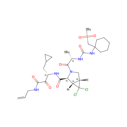 C=CCNC(=O)C(=O)[C@H](CC1CC1)NC(=O)[C@@H]1[C@@H]2[C@H](CN1C(=O)[C@@H](NC(=O)NC1(CS(=O)(=O)C(C)(C)C)CCCCC1)C(C)(C)C)C2(Cl)Cl